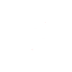 CC(OP(=O)(O)O)OP(=O)(O)O.[LiH]